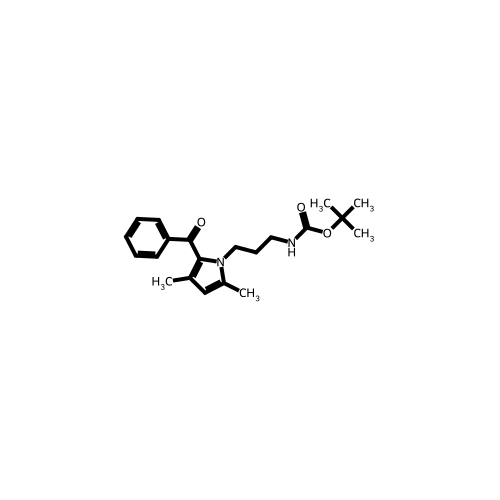 Cc1cc(C)n(CCCNC(=O)OC(C)(C)C)c1C(=O)c1ccccc1